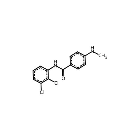 CNc1ccc(C(=O)Nc2cccc(Cl)c2Cl)cc1